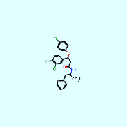 O=C(CC(Oc1ccc(Cl)cc1)c1ccc(Cl)c(Cl)c1)NC(Cc1ccccc1)C(=O)O